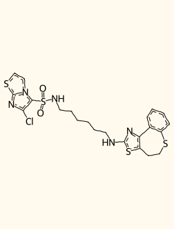 O=S(=O)(NCCCCCCNc1nc2c(s1)CCSc1ccccc1-2)c1c(Cl)nc2sccn12